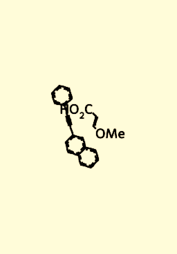 C(#Cc1ccc2ccccc2c1)c1ccccc1.COC=CC(=O)O